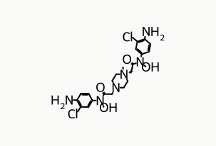 C[N+]1(CC(=O)N(O)c2ccc(N)c(Cl)c2)CCN(CC(=O)N(O)c2ccc(N)c(Cl)c2)CC1